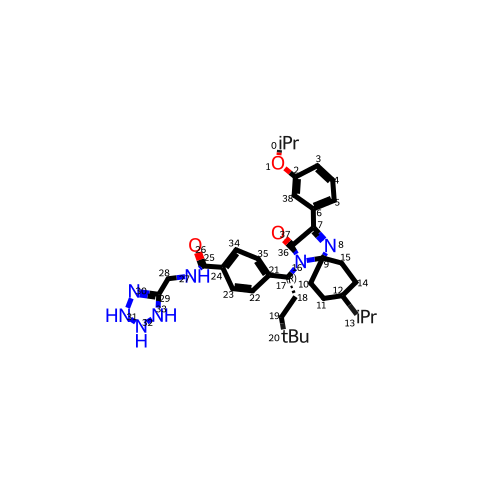 CC(C)Oc1cccc(C2=NC3(CCC(C(C)C)CC3)N([C@H](CCC(C)(C)C)c3ccc(C(=O)NCC4=NNNN4)cc3)C2=O)c1